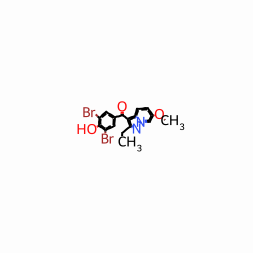 CCc1nn2cc(OC)ccc2c1C(=O)c1cc(Br)c(O)c(Br)c1